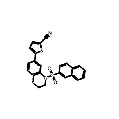 N#Cc1ccc(-c2ccc3c(c2)N(S(=O)(=O)c2ccc4ccccc4c2)CCS3)s1